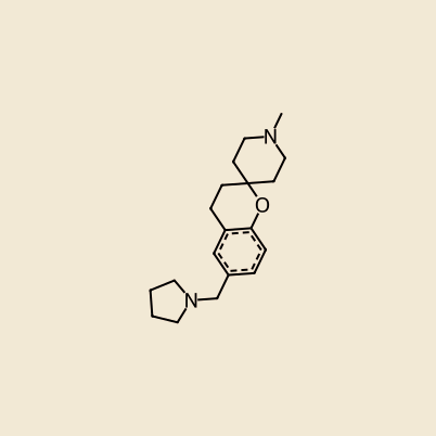 CN1CCC2(CCc3cc(CN4CCCC4)ccc3O2)CC1